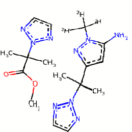 COC(=O)C(C)(C)n1nccn1.[2H]C([2H])([2H])n1nc(C(C)(C)n2nccn2)cc1N